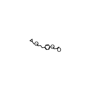 c1cc(OCC2CO2)ccc1CCCOCC1CC1